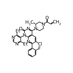 C=CC(=O)N1CCN(c2nc(=O)n(-c3c(CC)ncnc3CC)c3nc(-c4ccccc4F)c(Cl)cc23)[C@@H](C)C1